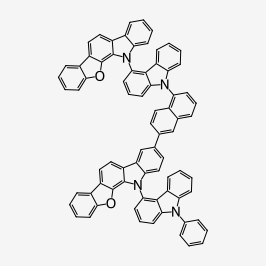 c1ccc(-n2c3ccccc3c3c(-n4c5ccc(-c6ccc7c(-n8c9ccccc9c9c(-n%10c%11ccccc%11c%11ccc%12c%13ccccc%13oc%12c%11%10)cccc98)cccc7c6)cc5c5ccc6c7ccccc7oc6c54)cccc32)cc1